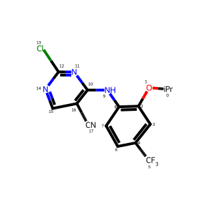 CC(C)Oc1cc(C(F)(F)F)ccc1Nc1nc(Cl)ncc1C#N